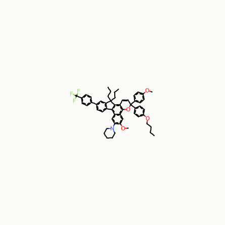 CCCCOc1ccc(C2(c3ccc(OC)cc3)C=Cc3c4c(c5cc(N6CCCCC6)c(OC)cc5c3O2)-c2ccc(-c3ccc(C(F)(F)F)cc3)cc2C4(CCC)CCC)cc1